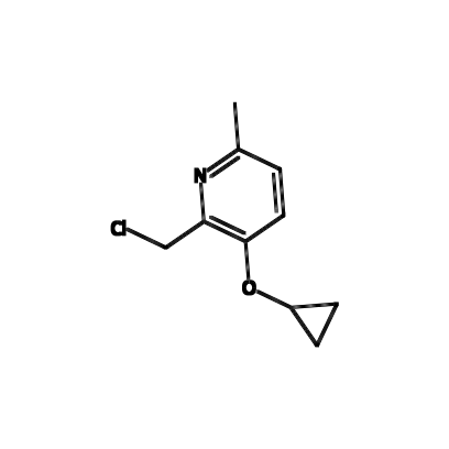 Cc1ccc(OC2CC2)c(CCl)n1